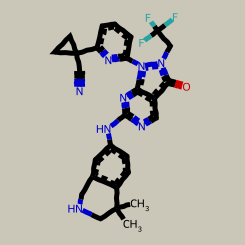 CC1(C)CNCc2cc(Nc3ncc4c(=O)n(CC(F)(F)F)n(-c5cccc(C6(C#N)CC6)n5)c4n3)ccc21